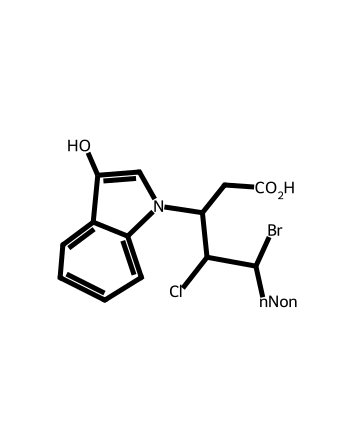 CCCCCCCCCC(Br)C(Cl)C(CC(=O)O)n1cc(O)c2ccccc21